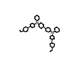 C=Cc1ccc(-c2ccc(N(c3ccccc3)c3ccc(-c4ccc(N(c5ccccc5)c5ccc(-c6ccc(C=C)cc6)cc5)cc4)cc3)cc2)cc1